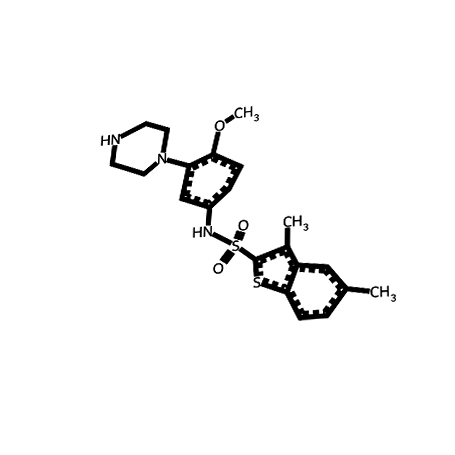 COc1ccc(NS(=O)(=O)c2sc3ccc(C)cc3c2C)cc1N1CCNCC1